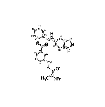 CC(C)N(C)C(=O)COc1cccc(-c2nc(Nc3ccc4[nH]ncc4c3)c3ccccc3n2)c1